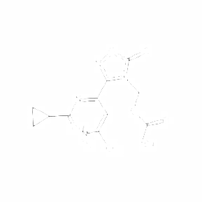 C=C(/N=C(\C=C(/N)C(F)(F)F)c1noc(=O)n1COC(=O)C(C)(C)C)C1CC1